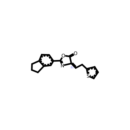 O=C1OC(c2ccc3c(c2)CCC3)=N/C1=C/Cc1cccs1